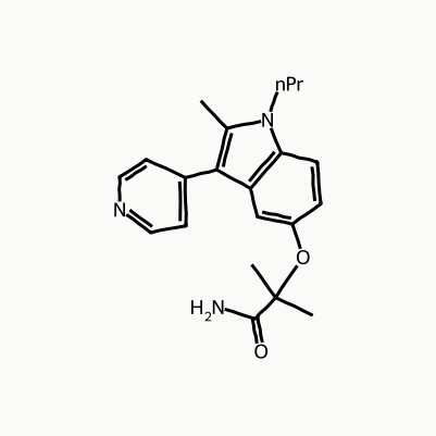 CCCn1c(C)c(-c2ccncc2)c2cc(OC(C)(C)C(N)=O)ccc21